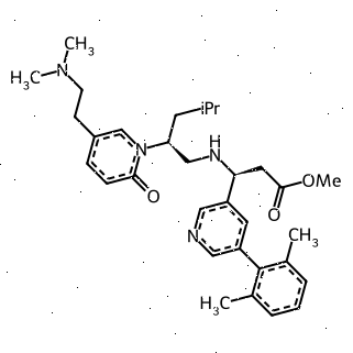 COC(=O)C[C@H](NC[C@H](CC(C)C)n1cc(CCN(C)C)ccc1=O)c1cncc(-c2c(C)cccc2C)c1